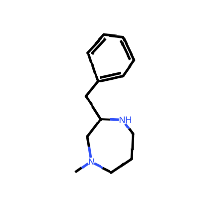 CN1CCCNC(Cc2ccccc2)C1